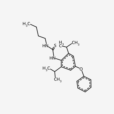 CCCCNC(=S)Nc1c(C(C)C)cc(Oc2ccccc2)cc1C(C)C